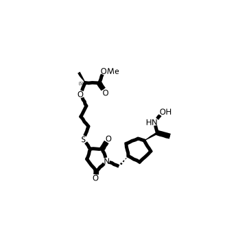 C=C(NO)[C@H]1CC[C@H](CN2C(=O)CC(SCCCO[C@@H](C)C(=O)OC)C2=O)CC1